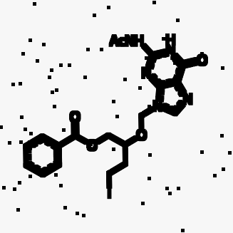 CC(=O)Nc1nc2c(ncn2COC(CCI)COC(=O)c2ccccc2)c(=O)[nH]1